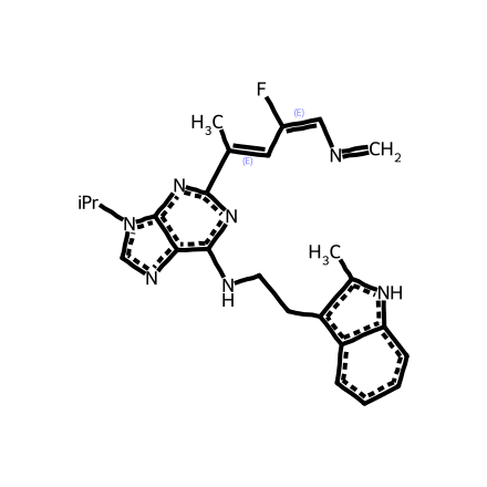 C=N/C=C(F)\C=C(/C)c1nc(NCCc2c(C)[nH]c3ccccc23)c2ncn(C(C)C)c2n1